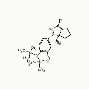 CCCCC1(C(=O)c2ccc(N([Si](C)(C)C)[Si](C)(C)C)c(Cl)c2)CCCN1B(C)O